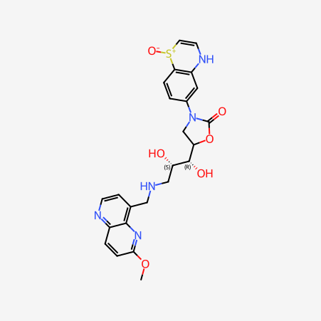 COc1ccc2nccc(CNC[C@H](O)[C@@H](O)C3CN(c4ccc5c(c4)NC=C[S+]5[O-])C(=O)O3)c2n1